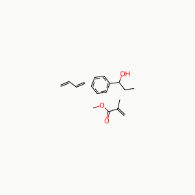 C=C(C)C(=O)OC.C=CC=C.CCC(O)c1ccccc1